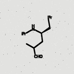 CC(C)C[C@@H](CC(C)C=O)NC(C)C